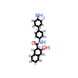 Nc1ccc(-c2ccc(NC(=O)c3cc4ccccc4cc3O)cc2)cc1